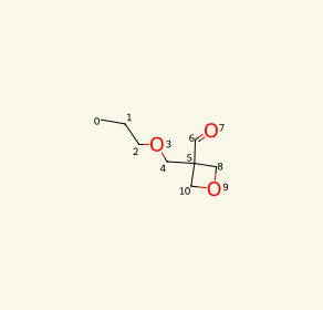 CCCOCC1(C=O)COC1